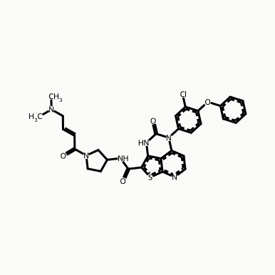 CN(C)CC=CC(=O)N1CCC(NC(=O)c2sc3nccc4c3c2NC(=O)N4c2ccc(Oc3ccccc3)c(Cl)c2)C1